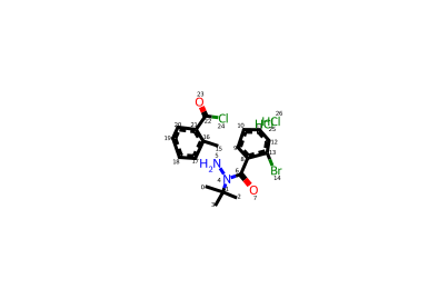 CC(C)(C)N(N)C(=O)c1ccccc1Br.Cc1ccccc1C(=O)Cl.Cl.Cl